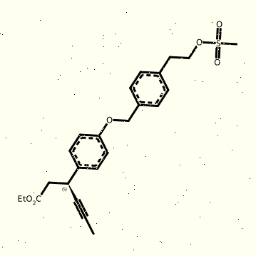 CC#C[C@@H](CC(=O)OCC)c1ccc(OCc2ccc(CCOS(C)(=O)=O)cc2)cc1